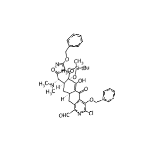 CN(C)[C@@H]1c2onc(OCc3ccccc3)c2C(=O)[C@@]2(O[Si](C)(C)C(C)(C)C)C(O)=C3C(=O)c4c(c(C=O)nc(Cl)c4OCc4ccccc4)C[C@H]3C[C@@H]12